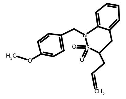 C=CCC1Cc2ccccc2N(Cc2ccc(OC)cc2)S1(=O)=O